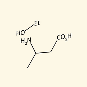 CC(N)CC(=O)O.CCO